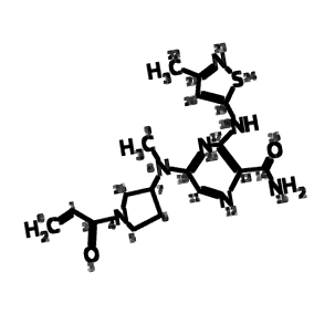 C=CC(=O)N1CCC(N(C)c2cnc(C(N)=O)c(Nc3cc(C)ns3)n2)C1